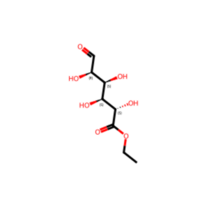 CCOC(=O)[C@@H](O)[C@@H](O)[C@H](O)[C@@H](O)C=O